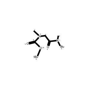 CCC(C)N(C)C(=O)CN(C)C(=O)OC(C)(C)C